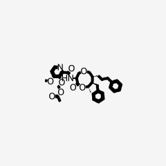 COc1ccnc(C(=O)N[C@H]2COC[C@H](CCCc3ccccc3)[C@@H](Cc3ccccc3)[C@H](C)OC2=O)c1OCOC(C)=O